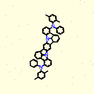 Cc1ccc(C)c(N(C2=CCCC=C2)c2cccc3c2c2cccc4c5cc6c(cc5n3c42)C2C=CC=C3c4c(N(c5ccccc5)c5cc(C)ccc5C)cccc4N6C32)c1